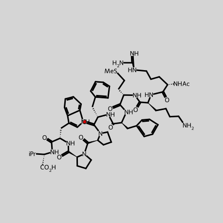 CSCC[C@H](NC(=O)[C@H](CCCCN)NC(=O)[C@H](CCCNC(=N)N)NC(C)=O)C(=O)N[C@@H](Cc1ccccc1)C(=O)N[C@@H](Cc1ccccc1)C(=O)N1CCC[C@H]1C(=O)N1CCC[C@H]1C(=O)N[C@@H](Cc1c[nH]c2ccccc12)C(=O)N[C@H](C(=O)O)C(C)C